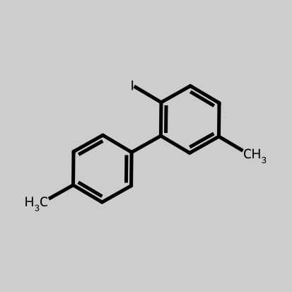 Cc1ccc(-c2cc(C)ccc2I)cc1